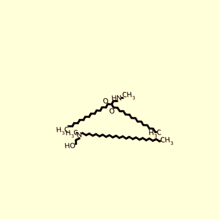 CCCCCCCCCCCCCCCC(=O)C(CCNCC)C(=O)CCCCCCCCCCCCCCC.CCCCCCCCCCCCCCCCCCCCCCCCCN(C)CCCO